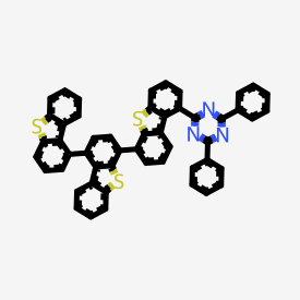 c1ccc(-c2nc(-c3ccccc3)nc(-c3cccc4sc5c(-c6ccc(-c7cccc8sc9ccccc9c78)c7c6sc6ccccc67)cccc5c34)n2)cc1